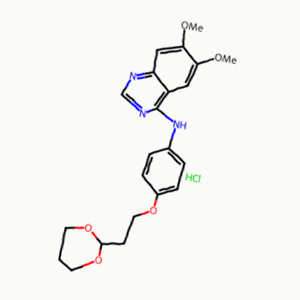 COc1cc2ncnc(Nc3ccc(OCCC4OCCCO4)cc3)c2cc1OC.Cl